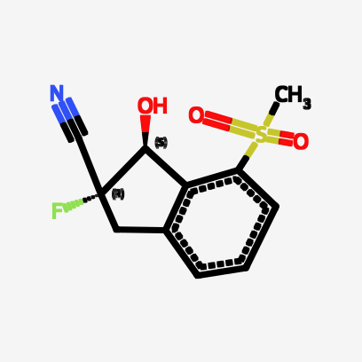 CS(=O)(=O)c1cccc2c1[C@H](O)[C@](F)(C#N)C2